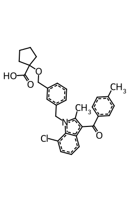 Cc1ccc(C(=O)c2c(C)n(Cc3cccc(COC4(C(=O)O)CCCC4)c3)c3c(Cl)cccc23)cc1